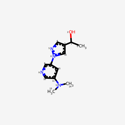 CC(O)c1cnn(-c2cncc(N(C)C)c2)c1